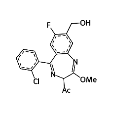 COC1=Nc2cc(CO)c(F)cc2C(c2ccccc2Cl)=NC1C(C)=O